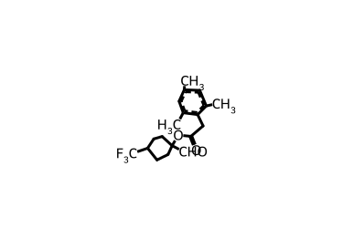 Cc1cc(C)c(CC(=O)OC2(C=O)CCC(C(F)(F)F)CC2)c(C)c1